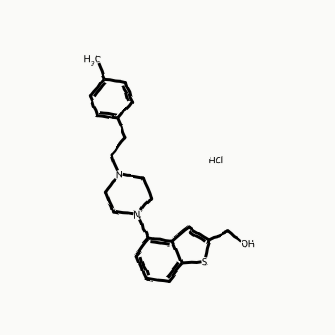 Cc1ccc(CCN2CCN(c3cccc4sc(CO)cc34)CC2)cc1.Cl